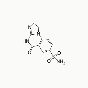 NS(=O)(=O)c1ccc2c(c1)C(=O)NC1=NCCN12